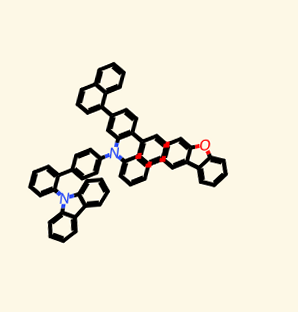 c1ccc(-c2ccc(-c3cccc4ccccc34)cc2N(c2ccc(-c3ccccc3-n3c4ccccc4c4ccccc43)cc2)c2cccc(-c3ccc4oc5ccccc5c4c3)c2)cc1